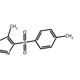 Cc1ccc(S(=O)(=O)c2ncoc2C)cc1